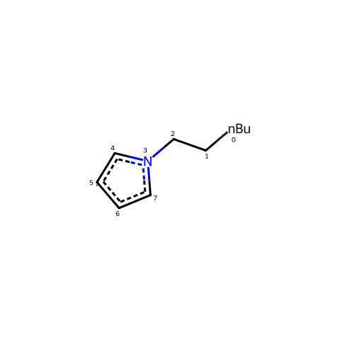 CCCCCCn1c[c]cc1